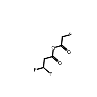 O=C(CF)OC(=O)CC(F)F